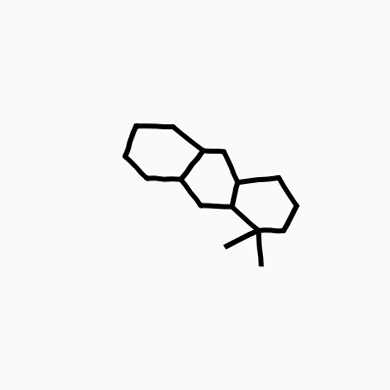 CC1(C)CCCC2CC3CCCCC3CC21